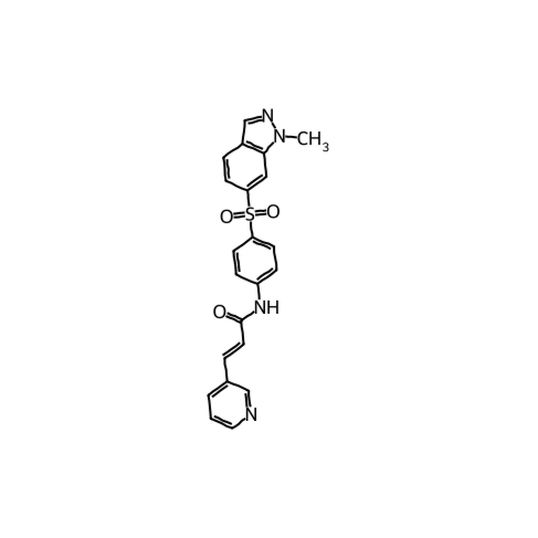 Cn1ncc2ccc(S(=O)(=O)c3ccc(NC(=O)C=Cc4cccnc4)cc3)cc21